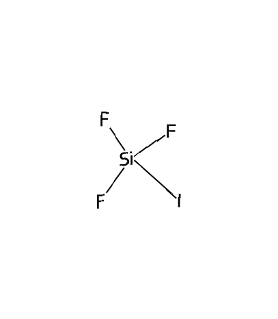 F[Si](F)(F)I